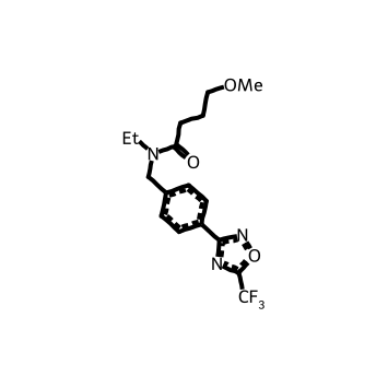 CCN(Cc1ccc(-c2noc(C(F)(F)F)n2)cc1)C(=O)CCCOC